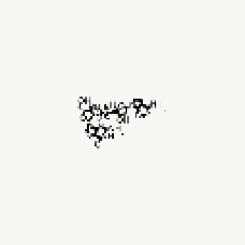 Nc1nc2c(ncn2[C@@H]2O[C@H](CO)[C@@H](F)[C@H]2OP(O)(=S)OC2[C@H]3O[C@@H](n4ccc5c(N)ncnc54)C[C@@]23O)c(=O)[nH]1